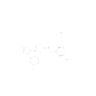 Cc1ccc([C@]2(c3ncns3)CCN(C(=O)Nc3cc(C(F)F)ccc3OC3CC(F)(F)C3)C2)cc1F